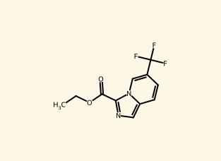 CCOC(=O)c1ncc2ccc(C(F)(F)F)cn12